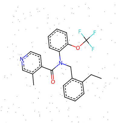 CCc1ccccc1CN(C(=O)c1ccncc1C)c1ccccc1OC(F)(F)F